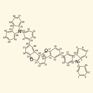 c1ccc(-n2c3ccccc3c3cc(-c4ccc5oc6c(ccc7oc8ccc(-c9cccc(-n%10c%11ccccc%11c%11ccccc%11%10)c9)cc8c76)c5c4)ccc32)cc1